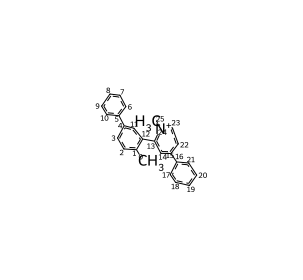 Cc1ccc(-c2ccccc2)cc1-c1cc(-c2ccccc2)cc[n+]1C